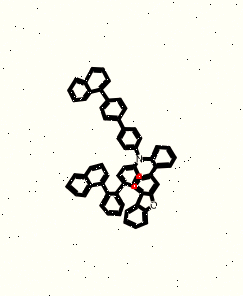 c1ccc(-c2cccc3ccccc23)c(-c2ccc(N(c3ccc(-c4ccc(-c5cccc6ccccc56)cc4)cc3)c3ccccc3-c3ccc4c(c3)oc3ccccc34)cc2)c1